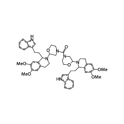 COc1cc2c(cc1OC)C(CCc1c[nH]c3ccccc13)N(C1CN(C(=O)N3CCOC(N4CCc5cc(OC)c(OC)cc5C4CCc4c[nH]c5ccccc45)C3)CCO1)CC2